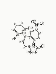 O=[N+]([O-])c1ccc2c(c1)C(c1c(F)cccc1F)=NCc1nnc(Cl)n1-2